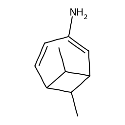 CC1C2C=CC(N)=CC1C2C